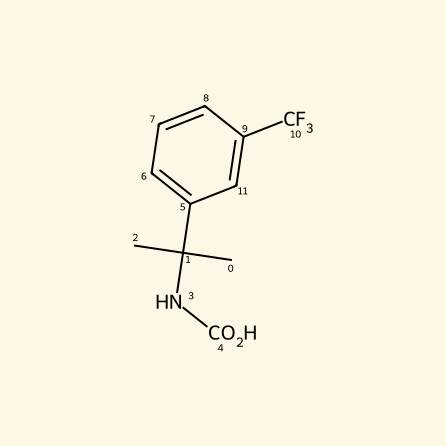 CC(C)(NC(=O)O)c1cccc(C(F)(F)F)c1